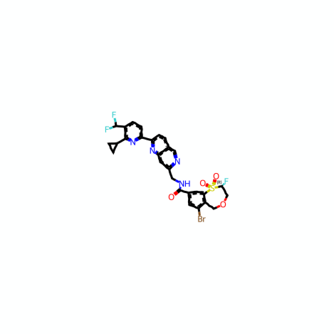 O=C(NCc1cc2nc(-c3ccc(C(F)F)c(C4CC4)n3)ccc2cn1)c1cc(Br)c2c(c1)S(=O)(=O)[C@@H](F)COC2